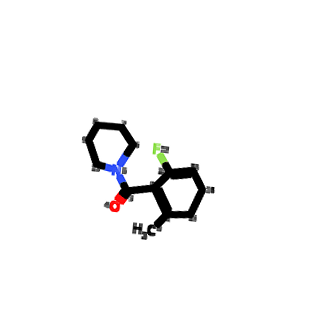 CC1=C(C(=O)N2CCCCC2)C(F)=CCC1